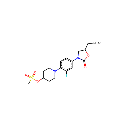 CC(=O)NCC1CN(c2ccc(N3CCC(OS(C)(=O)=O)CC3)c(F)c2)C(=O)O1